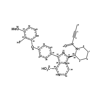 CC#CC(=O)N1CCCC[C@H]1c1nc(-c2ccc(Oc3cccc(OC)c3F)cc2)c2c(C(=O)O)nccn12